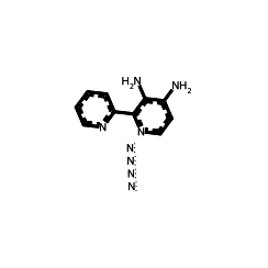 Nc1ccnc(-c2ccccn2)c1N.[N].[N].[N].[N]